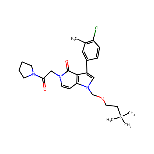 C[Si](C)(C)CCOCn1cc(-c2ccc(Cl)c(C(F)(F)F)c2)c2c(=O)n(CC(=O)N3CCCC3)ccc21